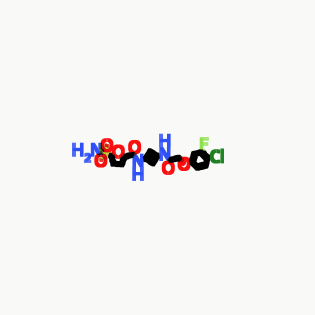 NS(=O)(=O)C1CCC(C(=O)NC23CC(NC(=O)COc4ccc(Cl)c(F)c4)(C2)C3)O1